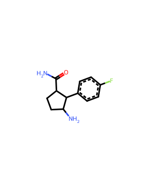 NC(=O)C1CCC(N)C1c1ccc(F)cc1